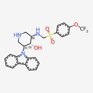 O=S(=O)(CN[C@@H]1CNC[C@H](n2c3ccccc3c3ccccc32)[C@H]1O)c1ccc(OC(F)(F)F)cc1